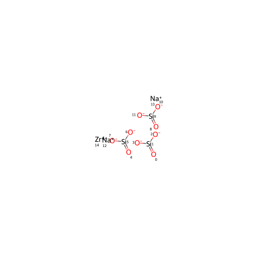 O=[Si]([O-])[O-].O=[Si]([O-])[O-].O=[Si]([O-])[O-].[Na+].[Na+].[Zr+4]